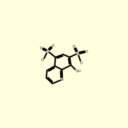 O=S(=O)(Cl)c1cc(S(=O)(=O)Cl)c2cccnc2c1O